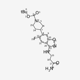 CC(C)(C)OC(=O)N1CCC(c2cc3onc(NCCC(N)=O)c3cc2F)CC1